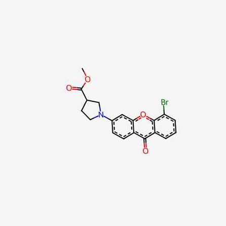 COC(=O)C1CCN(c2ccc3c(=O)c4cccc(Br)c4oc3c2)C1